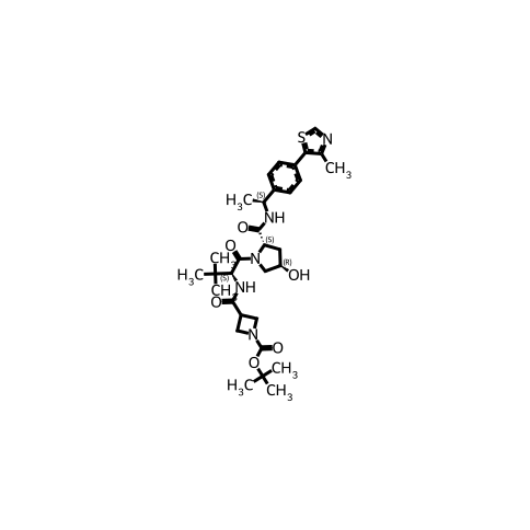 Cc1ncsc1-c1ccc([C@H](C)NC(=O)[C@@H]2C[C@@H](O)CN2C(=O)[C@@H](NC(=O)C2CN(C(=O)OC(C)(C)C)C2)C(C)(C)C)cc1